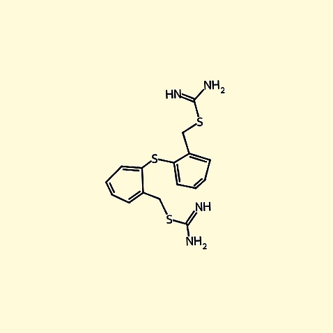 N=C(N)SCc1ccccc1Sc1ccccc1CSC(=N)N